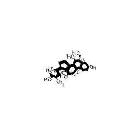 CC[C@H]1[C@@H](O)C2C3CC[C@H]([C@H](C)C[C@H](C)C(=O)O)[C@@]3(C)[C@@H](O)CC2[C@@]2(C)CC[C@@H](O)C[C@@H]12